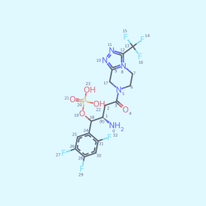 N[C@H](CC(=O)N1CCn2c(nnc2C(F)(F)F)C1)C(OP(=O)(O)O)c1cc(F)c(F)cc1F